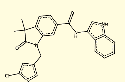 CC1(C)C(=O)N(Cc2csc(Cl)c2)c2cc(C(=O)Nc3c[nH]c4ccccc34)ccc21